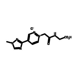 Cn1cnc(-c2cc[n+](CC(=O)NCC(=O)O)nc2)n1.[Cl-]